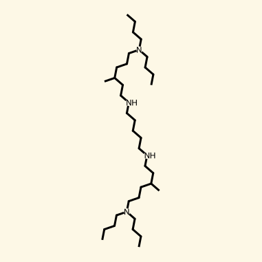 CCCCN(CCCC)CCCC(C)CCNCCCCCNCCC(C)CCCN(CCCC)CCCC